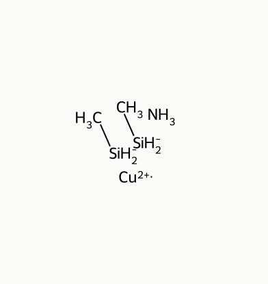 C[SiH2-].C[SiH2-].N.[Cu+2]